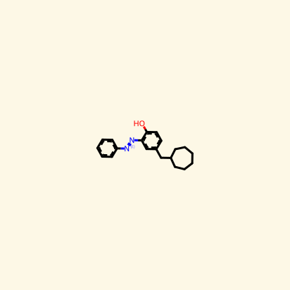 Oc1ccc(CC2CCCCCC2)cc1/N=N/c1ccccc1